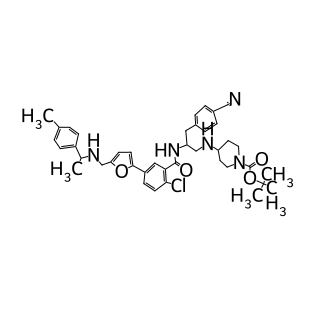 Cc1ccc(C(C)NCc2ccc(-c3ccc(Cl)c(C(=O)NC(CNC4CCN(C(=O)OC(C)(C)C)CC4)Cc4ccc(C#N)cc4)c3)o2)cc1